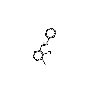 Clc1cccc(/C=N/c2ccccc2)c1Cl